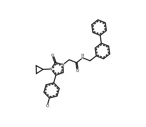 O=C(Cn1cc(-c2ccc(Cl)cc2)n(C2CC2)c1=O)NCc1cccc(-c2ccccc2)c1